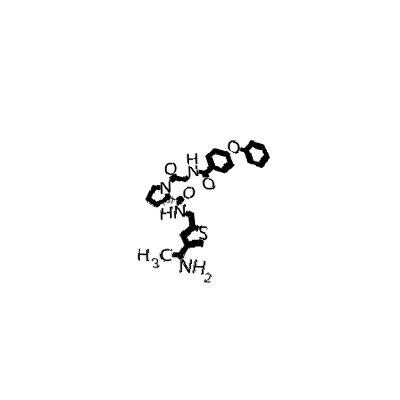 CC(N)c1csc(CNC(=O)[C@@H]2CCCN2C(=O)CNC(=O)c2ccc(Oc3ccccc3)cc2)c1